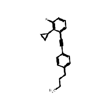 CCCCc1ccc(C#Cc2cccc(F)c2C2CC2)cc1